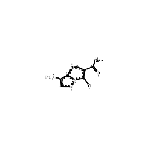 CCOC(=O)c1cnn2c(Cl)c(C(=O)OC)cnc12